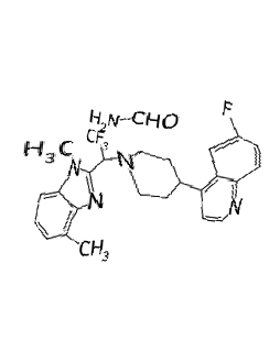 Cc1cccc2c1nc(C(N1CCC(c3ccnc4ccc(F)cc34)CC1)C(F)(F)F)n2C.NC=O